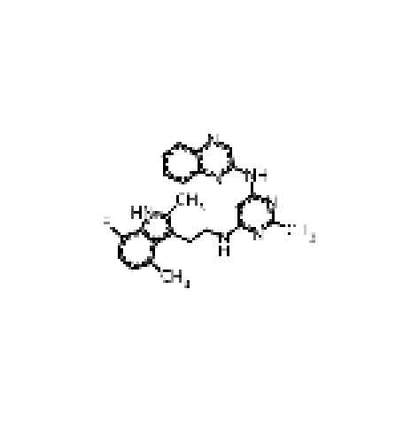 Cc1nc(NCCc2c(C)[nH]c3c(F)ccc(C)c23)cc(Nc2cnc3ccccc3n2)n1